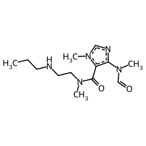 CCCNCCN(C)C(=O)c1c(N(C)C=O)ncn1C